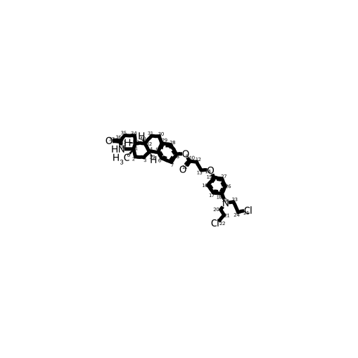 C[C@]12CC[C@@H]3c4ccc(OC(=O)CCOc5ccc(N(CCCl)CCCl)cc5)cc4CC[C@H]3[C@@H]1CCC(=O)N2